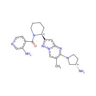 Cc1cn2nc([C@@H]3CCCCN3C(=O)c3ccncc3N)cc2nc1N1CC[C@H](N)C1